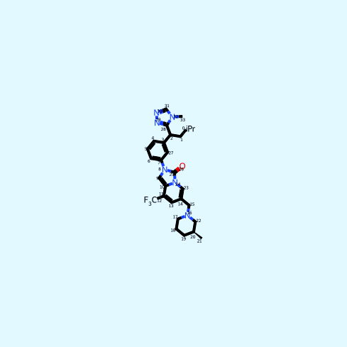 CC(C)CC(c1cccc(-n2cc3c(C(F)(F)F)cc(CN4CCC[C@H](C)C4)cn3c2=O)c1)c1nncn1C